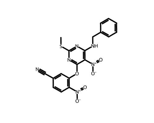 CSc1nc(NCc2ccccc2)c([N+](=O)[O-])c(Oc2cc(C#N)ccc2[N+](=O)[O-])n1